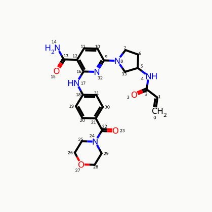 C=CC(=O)NC1CCN(c2ccc(C(N)=O)c(Nc3ccc(C(=O)N4CCOCC4)cc3)n2)C1